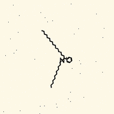 CCCCCCCCCCCCCCCCC(c1ccccc1)[N+](C)(C)CCCCCCCCCCCC